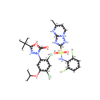 CC(C)Oc1cc(-n2nc(C(C)(C)C)oc2=O)c(Cl)cc1Cl.Cc1ccn2nc(S(=O)(=O)Nc3c(F)cccc3F)nc2n1